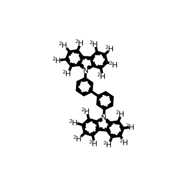 [2H]c1c([2H])c([2H])c2c(c1[2H])c1c([2H])c([2H])c([2H])c([2H])c1n2-c1cccc(-c2cccc(-n3c4c([2H])c([2H])c([2H])c([2H])c4c4c([2H])c([2H])c([2H])c([2H])c43)c2)c1